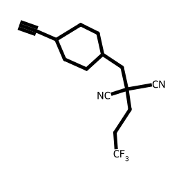 C#CC1CCC(CC(C#N)(C#N)CCC(F)(F)F)CC1